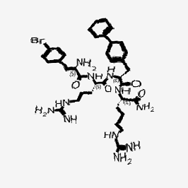 N=C(N)NCCCC[C@H](NC(=O)[C@H](Cc1ccc(-c2ccccc2)cc1)NC(=O)[C@H](CCCNC(=N)N)NC(=O)[C@@H](N)Cc1ccc(Br)cc1)C(N)=O